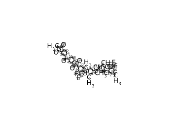 Cc1ccc(Oc2c(C)cc(C(C)(C)c3cc(C)c(Oc4ccc(N5C(=O)c6ccc(C(=O)c7ccc8c(c7)C(=O)N(C)C8=O)cc6C5=O)cc4C(F)(F)F)c(C)c3)cc2C)c(C(F)(F)F)c1